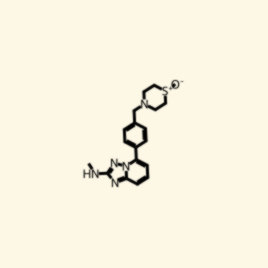 CNc1nc2cccc(-c3ccc(CN4CC[S+]([O-])CC4)cc3)n2n1